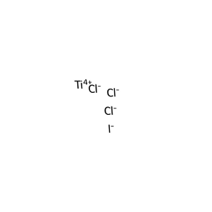 [Cl-].[Cl-].[Cl-].[I-].[Ti+4]